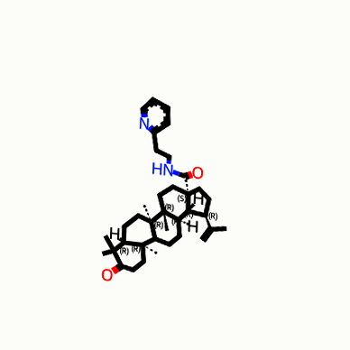 C=C(C)[C@@H]1CC[C@]2(C(=O)NCCc3ccccn3)CC[C@]3(C)[C@H](CCC4[C@@]5(C)CCC(=O)C(C)(C)[C@@H]5CC[C@]43C)[C@@H]12